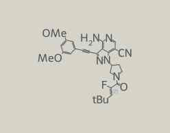 COc1cc(C#Cc2nn(C3CCN(C(=O)/C(F)=C/C(C)(C)C)C3)c3c(C#N)cnc(N)c23)cc(OC)c1